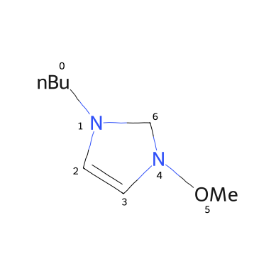 CCCCN1C=CN(OC)C1